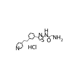 Cl.NCC(=O)Nc1nc(-c2cccc(CCc3ccncc3)c2)cs1